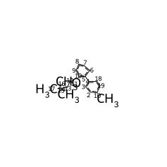 Cc1ccc(-c2ccccc2OCCC(C)(C)C)cc1